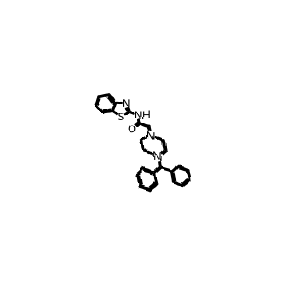 O=C(CN1CCN(C(c2ccccc2)c2ccccc2)CC1)Nc1nc2ccccc2s1